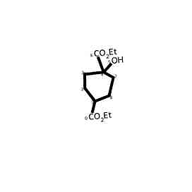 CCOC(=O)C1C[CH]C(O)(C(=O)OCC)CC1